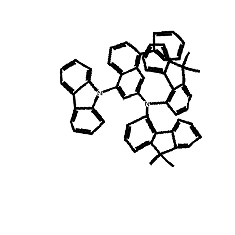 CC1(C)c2ccccc2-c2c(N(c3cc(-n4c5ccccc5c5ccccc54)c4cccc(-c5ccccc5)c4c3)c3cccc4c3-c3ccccc3C4(C)C)cccc21